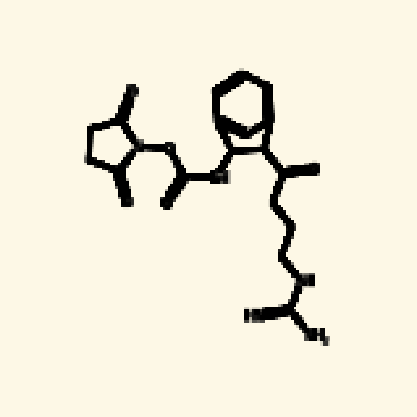 N=C(N)NCCCC(=O)C1c2cccc(c2)C1NC(=O)ON1C(=O)CCC1=O